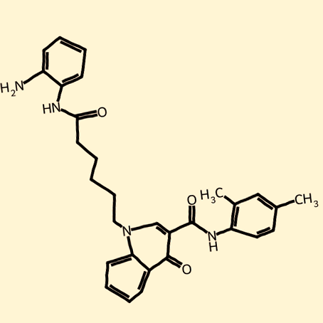 Cc1ccc(NC(=O)c2cn(CCCCCC(=O)Nc3ccccc3N)c3ccccc3c2=O)c(C)c1